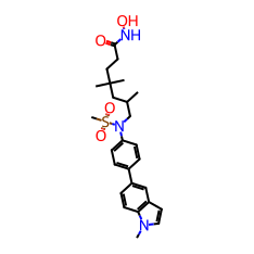 CC(CN(c1ccc(-c2ccc3c(ccn3C)c2)cc1)S(C)(=O)=O)CC(C)(C)CCC(=O)NO